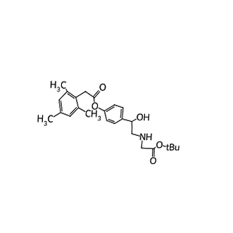 Cc1cc(C)c(CC(=O)Oc2ccc(C(O)CNCC(=O)OC(C)(C)C)cc2)c(C)c1